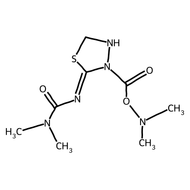 CN(C)OC(=O)N1NCSC1=NC(=O)N(C)C